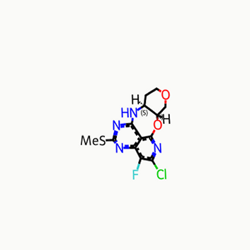 CSc1nc2c3c(nc(Cl)c(F)c3n1)O[C@H]1COCC[C@@H]1N2